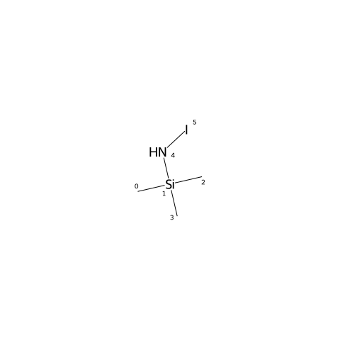 C[Si](C)(C)NI